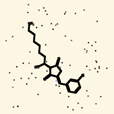 NCCCCCCC(O)N1C(=O)C/C(=C\c2cccc(Cl)c2)C1=O